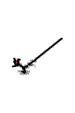 CCCCc1nc2c(NC(=O)OCc3ccc(O[C@H]4O[C@H](CO)[C@@H](O)[C@H](O)[C@@H]4O)c(NC(=O)CCNC(=O)[C@@H](N)CCCCNC(=O)CCOCCOCCOCCOCCOCCOCCOCCOCCOCCOCCOCCOC)c3)nc3cc(C(=O)OC)ccc3c2n1Cc1ccc(CN(C)C)cc1